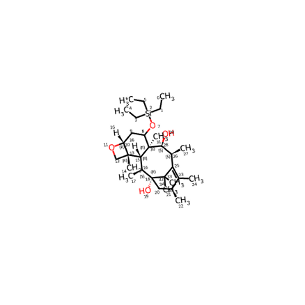 CC[Si](CC)(CC)OC1C[C@H]2OC[C@@]2(C)[C@H]2[C@H](C)[C@]3(O)C[C@H](C)C(C)=C([C@H](C)[C@H](O)[C@]12C)C3(C)C